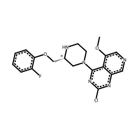 COc1cncc2nc(Cl)nc(N3CCN[C@@H](COc4ccccc4F)C3)c12